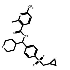 Cc1nc(C(F)(F)F)ccc1C(=O)NC(c1ccc(S(=O)(=O)CC2CC2)cc1)C1CCOCC1